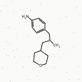 CN(Cc1ccc(N)cc1)CC1CCOCC1